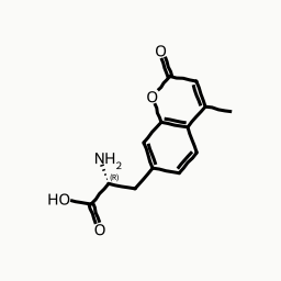 Cc1cc(=O)oc2cc(C[C@@H](N)C(=O)O)ccc12